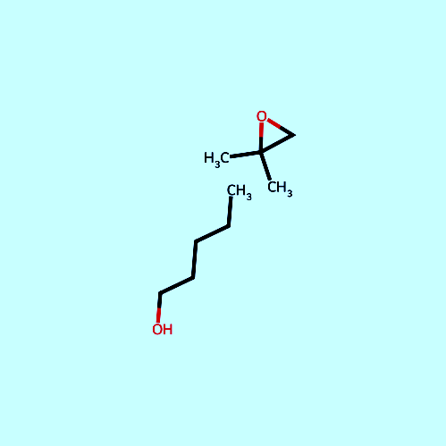 CC1(C)CO1.CCCCCO